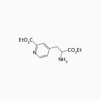 CCOC(=O)c1cc(CC(N)C(=O)OCC)ccn1